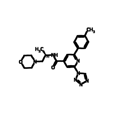 Cc1ccc(-c2cc(C(=O)N[C@H](C)CN3CCOCC3)cc(-n3cnnn3)n2)cc1